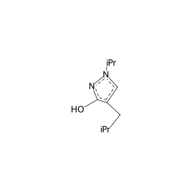 CC(C)Cc1cn(C(C)C)nc1O